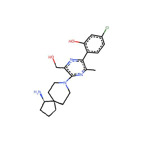 Cc1nc(N2CCC3(CCC[C@H]3N)CC2)c(CO)nc1-c1ccc(Cl)cc1O